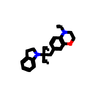 CC(C)(C)N1CCOc2cc(CC(C)(C)N3CCc4ccccc43)ccc21